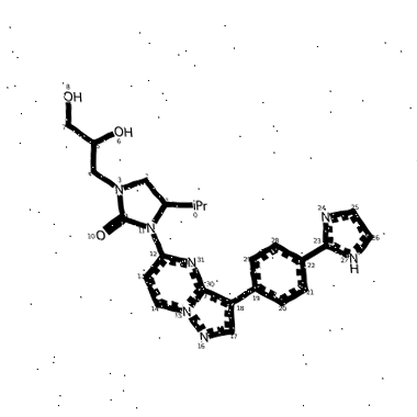 CC(C)C1CN(CC(O)CO)C(=O)N1c1ccn2ncc(-c3ccc(-c4ncc[nH]4)cc3)c2n1